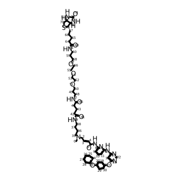 CN(C/C=C/C(=O)Nc1cccc(Nc2cc(Oc3ccc(Oc4ccccc4)cc3)ncn2)n1)CCCCNC(=O)CCCC(=O)NCCCOCCOCCOCCCNC(=O)CCCC[C@@H]1SC[C@@H]2NC(=O)N[C@@H]21